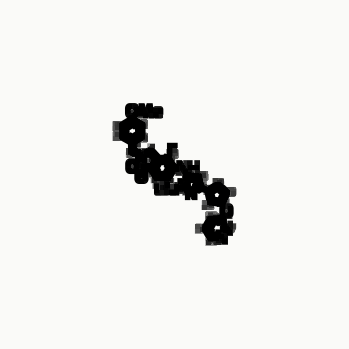 COc1ccc(CN2Cc3c(ccc(Nc4cc([C@H]5CC[C@@H](Oc6cccnn6)C5)nn4C(C)(C)C)c3F)S2(=O)=O)cc1